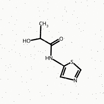 CC(O)C(=O)Nc1cncs1